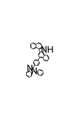 c1ccc(-n2c(-c3ccc(-c4cc5c([nH]c6ccc7ccccc7c65)c5ccccc45)cc3)nc3ccccc32)cc1